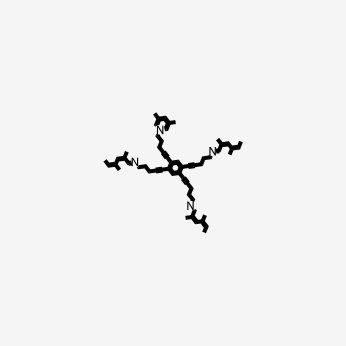 C\C=C(C)/C=C(C)\C=N\CCCC#Cc1cc(C#CCCC/N=C/C(C)=C\C(C)=C/C)c(C#CCCC[n+]2cc(C)cc(C)c2)cc1C#CCCC/N=C/C(C)=C\C(C)=C/C